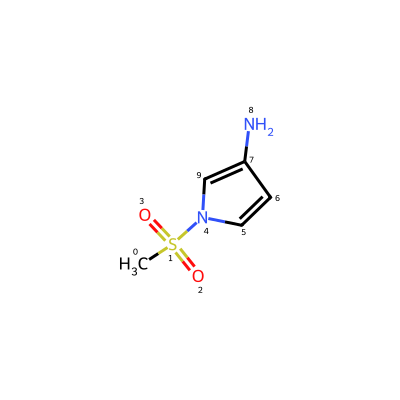 CS(=O)(=O)n1ccc(N)c1